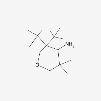 CC1(C)COCC(C(C)(C)C)(C(C)(C)C)C1N